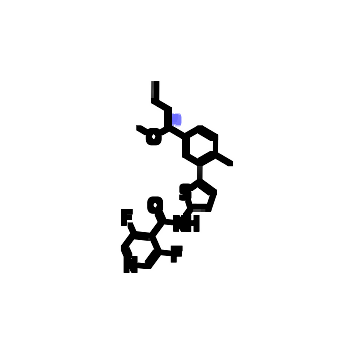 C=C/C=C(\OC)c1ccc(C)c(-c2ccc(NC(=O)c3c(F)cncc3F)s2)c1